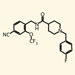 N#Cc1ccc(CNC(=O)C2CCN(Cc3ccc(F)cc3)CC2)c(OC(F)(F)F)c1